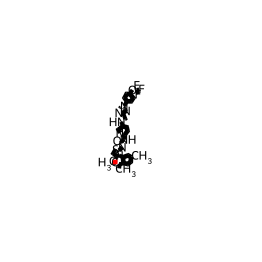 Cc1ccc(C(C)C)c(N2C(=O)CSC2=NC(=O)Nc2ccc(NCc3ncn(-c4ccc(OC(F)(F)F)cc4)n3)cn2)c1